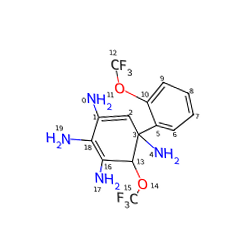 NC1=CC(N)(c2ccccc2OC(F)(F)F)C(OC(F)(F)F)C(N)=C1N